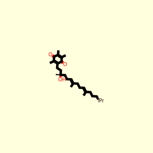 CC1=C(C)C(=O)C(CC[C@@](C)(O)CC/C=C(\C)CC/C=C(\C)CCCC(C)C)=C(C)C1=O